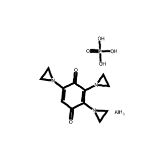 O=C1C=C(N2CC2)C(=O)C(N2CC2)=C1N1CC1.O=P(O)(O)O.[AlH3]